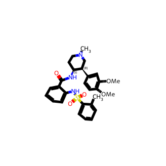 COc1ccc([C@@H]2CN(C)CC[C@@H]2NC(=O)c2ccccc2NS(=O)(=O)c2ccccc2C)cc1OC